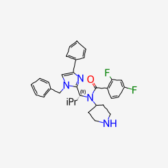 CC(C)[C@H](c1nc(-c2ccccc2)cn1Cc1ccccc1)N(C(=O)c1ccc(F)cc1F)C1CCNCC1